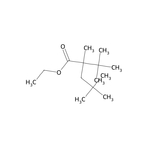 CCOC(=O)C(C)(CC(C)(C)C)C(C)(C)C